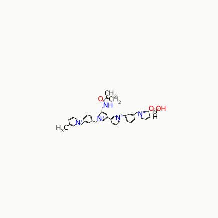 C=C(C)C(=O)NCc1cc(-c2ccc[n+](Cc3cccc(C[n+]4cccc(OBO)c4)c3)c2)c[n+](Cc2cccc(C[n+]3cccc(C)c3)c2)c1